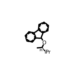 CC(C)[C@@H](C)OC1c2ccccc2-c2ccccc21